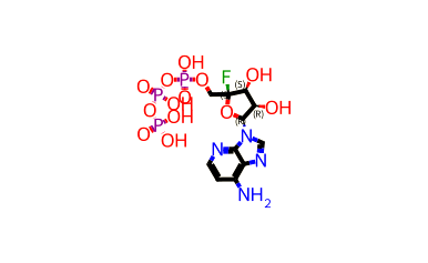 Nc1ccnc2c1ncn2[C@@H]1O[C@](F)(COP(=O)(O)OP(=O)(O)OP(=O)(O)O)[C@@H](O)[C@H]1O